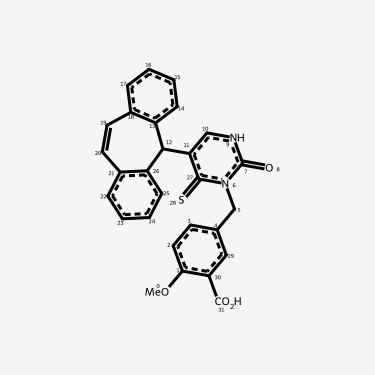 COc1ccc(Cn2c(=O)[nH]cc(C3c4ccccc4C=Cc4ccccc43)c2=S)cc1C(=O)O